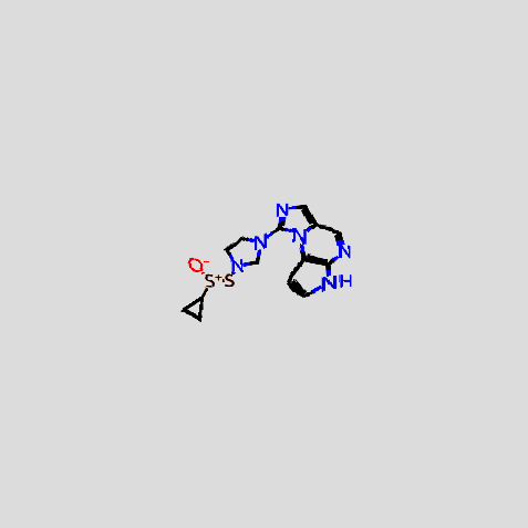 [O-][S+](SN1CCN(c2ncc3cnc4[nH]ccc4n23)C1)C1CC1